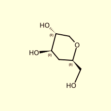 OC[C@H]1C[C@@H](O)[C@H](O)CO1